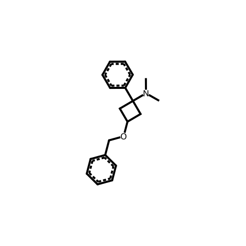 CN(C)C1(c2ccccc2)CC(OCc2ccccc2)C1